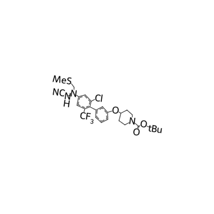 CSCN(NC#N)c1cc(Cl)c(-c2cccc(OC3CCN(C(=O)OC(C)(C)C)CC3)c2)c(C(F)(F)F)c1